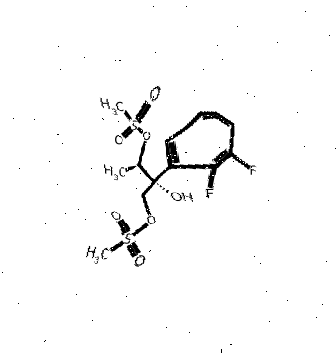 C[C@@H](OS(C)(=O)=O)[C@](O)(COS(C)(=O)=O)c1cccc(F)c1F